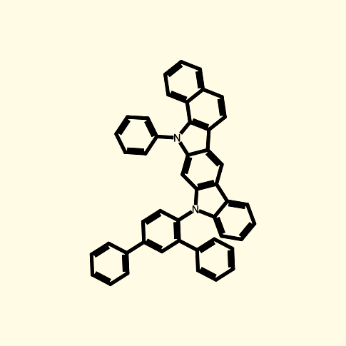 c1ccc(-c2ccc(-n3c4ccccc4c4cc5c6ccc7ccccc7c6n(-c6ccccc6)c5cc43)c(-c3ccccc3)c2)cc1